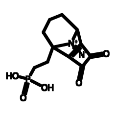 [N-]=[N+]1C2CCCC1(CCP(=O)(O)O)c1c2c(=O)c1=O